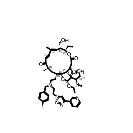 CCO[C@@H](O[C@H]1[C@@H](CCN(CCn2cc(-c3cccnc3)nn2)Cc2ccc(I)cc2)C[C@@H](C)C(=O)/C=C/C(C)=C/[C@H](CO)[C@@H](CC)OC(=O)C[C@@H](O)[C@@H]1C)C(O)C([C@@H](C)O)N(C)C